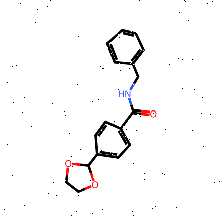 O=C(NCc1ccccc1)c1ccc(C2OCCO2)cc1